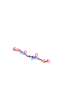 O=C(CCCCCCCC(=O)NCCCCOCC1CO1)NCCCCOCC1CO1